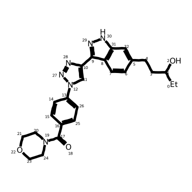 CCC(O)CCc1ccc2c(-c3cn(-c4ccc(C(=O)N5CCOCC5)cc4)nn3)n[nH]c2c1